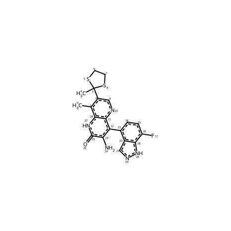 Cc1c(C2(C)SCCS2)cnc2c(-c3ccc(F)c4[nH]ncc34)c(N)c(=O)[nH]c12